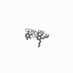 CCCCc1ccc(C(=O)O)c(C(=O)O)c1CCCC.Cc1ccc(C(=O)O)c(C(=O)O)c1C